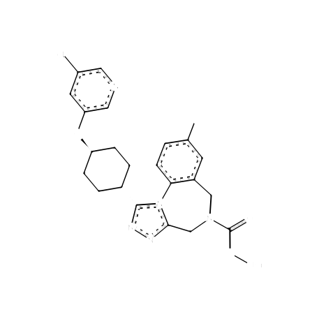 CC(C)(C)OC(=O)N1Cc2cc(Cl)ccc2-n2c(nnc2[C@H]2CC[C@H](Oc3cncc(Cl)c3)CC2)C1